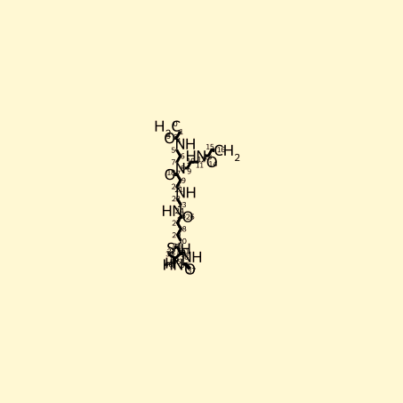 C=CC(=O)NCCCN(CCCNC(=O)C=C)C(=O)CCNCCNC(=O)CCCC[C@H]1SC[C@H]2NC(=O)N[C@H]21